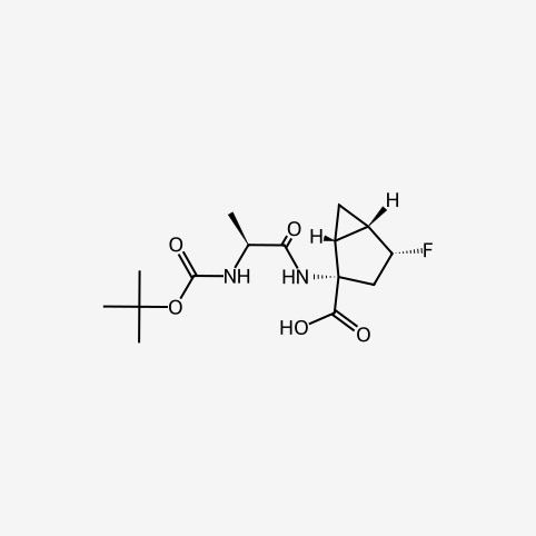 C[C@H](NC(=O)OC(C)(C)C)C(=O)N[C@@]1(C(=O)O)C[C@@H](F)[C@H]2C[C@H]21